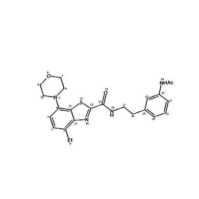 CCc1ccc(N2CCOCC2)c2sc(C(=O)NCCc3cccc(NC(C)=O)c3)nc12